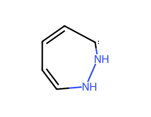 [C]1C=CC=CNN1